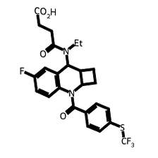 CCN(C(=O)CCC(=O)O)C1c2cc(F)ccc2N(C(=O)c2ccc(SC(F)(F)F)cc2)C2CCC12